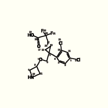 Clc1ccc(C2(COC3CNC3)CC2)c(Cl)c1.O=C(O)C(F)(F)F